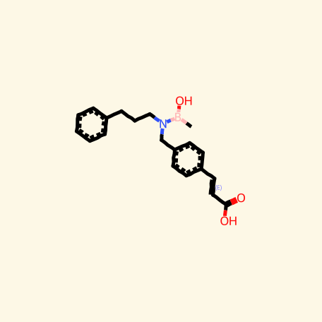 CB(O)N(CCCc1ccccc1)Cc1ccc(/C=C/C(=O)O)cc1